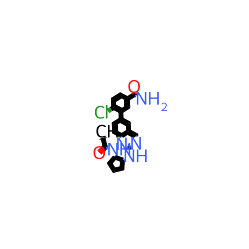 C#CC(=O)NC1CCCC1Nc1ncc2cc(-c3cc(C(N)=O)ccc3Cl)ccc2n1